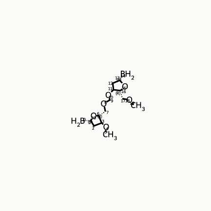 B[C@H]1CC(OC)[C@@H](COCOC2C[C@H](B)O[C@@H]2COC)O1